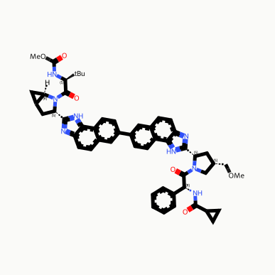 COC[C@H]1C[C@@H](c2nc3ccc4cc(-c5ccc6c(ccc7nc([C@@H]8CC9C[C@H]9N8C(=O)[C@@H](NC(=O)OC)C(C)(C)C)[nH]c76)c5)ccc4c3[nH]2)N(C(=O)[C@H](NC(=O)C2CC2)c2ccccc2)C1